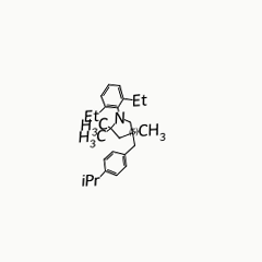 CCc1cccc(CC)c1N1C[C@@](C)(Cc2ccc(C(C)C)cc2)CC1(C)C